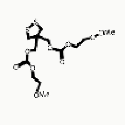 COCCCOC(=O)OCC1(COC(=O)OCCOC)CSSC1